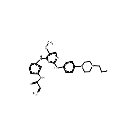 C=CC(=O)Nc1cccc(Nc2nc(Nc3ccc(N4CCN(CCF)CC4)cc3)ncc2OC)c1